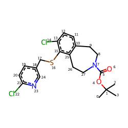 CC(C)(C)OC(=O)N1CCc2ccc(Cl)c(SCc3ccc(Cl)nc3)c2CC1